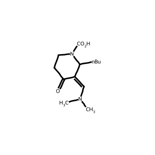 CCCCC1C(=CN(C)C)C(=O)CCN1C(=O)O